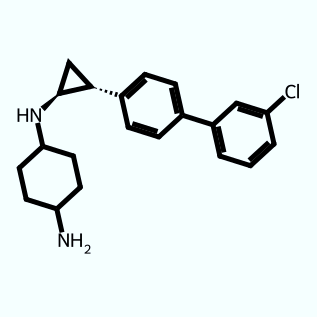 NC1CCC(N[C@H]2C[C@@H]2c2ccc(-c3cccc(Cl)c3)cc2)CC1